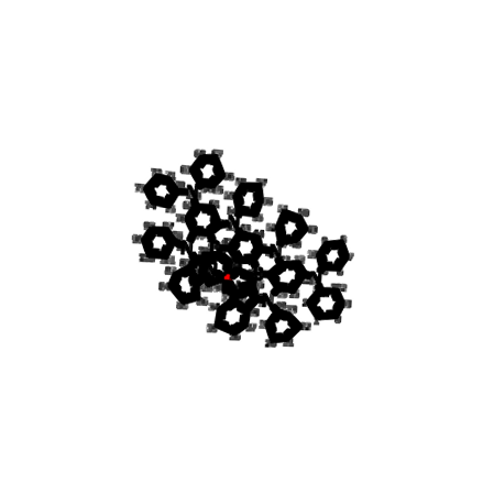 c1ccc(N(c2ccccc2)c2cc3c4c(c2)N(c2ccccc2)c2c(n(-c5ccccc5)c5ccccc25)B4c2cc4c(cc2N3c2ccccc2)N(c2ccccc2)c2cc(N(c3ccccc3)c3ccccc3)cc3c2B4c2c(c4ccccc4n2-c2ccccc2)N3c2ccccc2)cc1